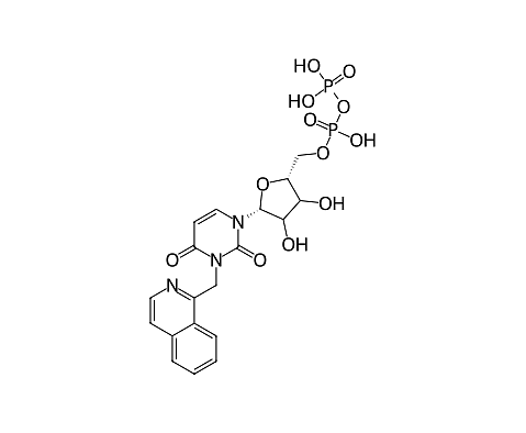 O=c1ccn([C@@H]2O[C@H](COP(=O)(O)OP(=O)(O)O)C(O)C2O)c(=O)n1Cc1nccc2ccccc12